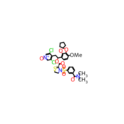 COc1ccc(C(Cc2c(Cl)c[n+]([O-])cc2Cl)OC(=O)[C@@H]2SCCN2S(=O)(=O)c2cccc(C(=O)N(C)C)c2)c2c1OC1(CCCC1)O2